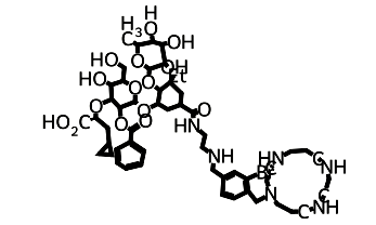 CCC1CC(C(=O)NCCNCc2ccc(CN3CCCNCCNCCCNCC3)c(Br)c2)CC(OC2OC(CO)C(O)C(O[C@@H](CC3CC3)C(=O)O)C2OC(=O)c2ccccc2)C1OC1OC(C)C(O)C(O)C1O